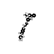 C[C@@H]1Cc2c([nH]c3ccccc23)[C@@H](c2c(F)cc(N3CC(CC(=O)N4Cc5cc6c(cc5C4)C(=O)N(C4CCC(=O)NC4=O)C6)C3)cc2F)N1CC(F)F